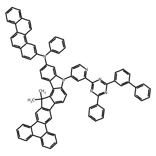 CC1(C)c2cc3c4ccccc4c4ccccc4c3cc2-c2ccc3c(c21)c1ccc(N(c2ccccc2)c2ccc4ccc5c6ccccc6ccc5c4c2)cc1n3-c1ccnc(-c2nc(-c3ccccc3)nc(-c3cccc(-c4ccccc4)c3)n2)c1